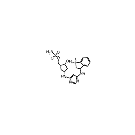 CC1(C)C[C@H](Nc2cc(N[C@@H]3C[C@@H](COS(N)(=O)=O)[C@@H](O)C3)ncn2)c2ccccc21